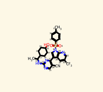 Cc1ccc(S(=O)(=O)n2cc(-c3nc(NC(C)C4CCC(O)CC4)ncc3C#N)c3cc(C(F)(F)F)cnc32)cc1